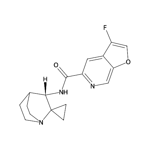 O=C(N[C@H]1C2CCN(CC2)C12CC2)c1cc2c(F)coc2cn1